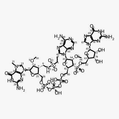 CCS(=O)(=O)NC[C@H]1[C@@H](OC)[C@H](n2c[n+](C)c3c(=O)[nH]c(N)nc32)O[C@@H]1COP(=O)(O)OP(=O)(O)OP(=O)(O)OC[C@H]1O[C@@H](n2cnc3c(N)ncnc32)[C@H](OC)[C@@H]1P(=O)([O-])OC[C@H]1O[C@@H](n2cnc3c(=O)[nH]c(N)nc32)[C@H](O)[C@@H]1O